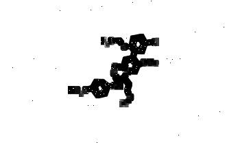 COc1cn(C(CCOC(C)C)C(=O)Nc2ccc(C(=O)O)cc2)c(=O)cc1-c1cc(Cl)ccc1OCC(F)(F)F